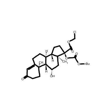 CCCCOC(=O)O[C@]1(C(=O)OCCl)CC[C@H]2[C@@H]3CCC4=CC(=O)CC[C@]4(C)[C@H]3[C@@H](O)C[C@@]21C